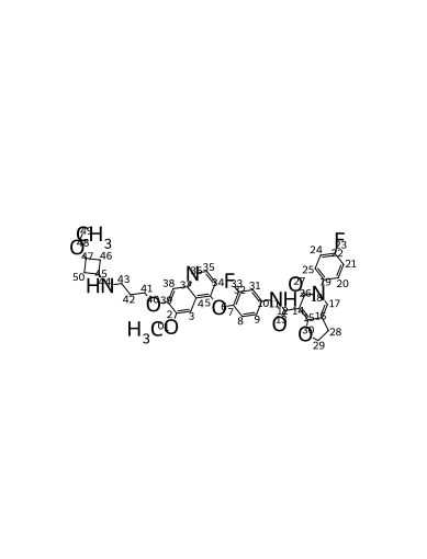 COc1cc2c(Oc3ccc(NC(=O)c4c5c(cn(-c6ccc(F)cc6)c4=O)CCO5)cc3F)ccnc2cc1OCCCNC1CC(OC)C1